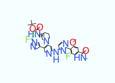 CNC(=O)c1cc(F)c(-c2nccc(Nc3cc(N4CCC[C@H](NC(=O)OC(C)(C)C)C4)c(-c4cnn(C(F)F)c4)cn3)n2)c(OC)c1